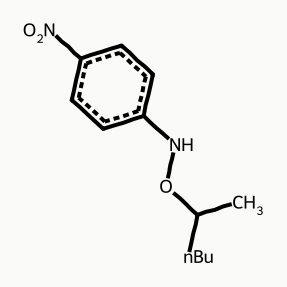 CCCCC(C)ONc1ccc([N+](=O)[O-])cc1